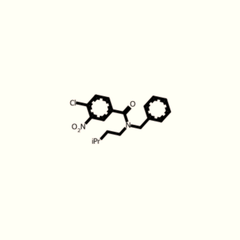 CC(C)CCN(Cc1ccccc1)C(=O)c1ccc(Cl)c([N+](=O)[O-])c1